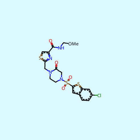 COCNC(=O)c1csc(CN2CCN(S(=O)(=O)c3cc4ccc(Cl)cc4s3)CC2=O)n1